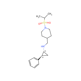 CC(C)S(=O)(=O)N1CCC(CN[C@@H]2C[C@H]2c2ccccc2)CC1